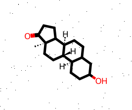 C[C@@]12CC[C@H]3[C@@H]4CCC(O)CC4CC[C@@H]3C1CCC2=O